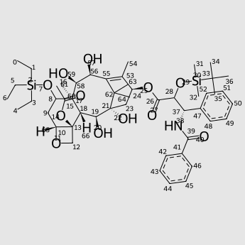 CC[Si](CC)(CC)OC1C[C@H]2OC[C@@]2(OC(C)=O)[C@H]2[C@H](O)[C@]3(O)C[C@H](OC(=O)C(O[Si](C)(C)C(C)(C)C)[C@@H](NC(=O)c4ccccc4)c4ccccc4)C(C)=C([C@H](O)[C@H](O)[C@]12C)C3(C)C